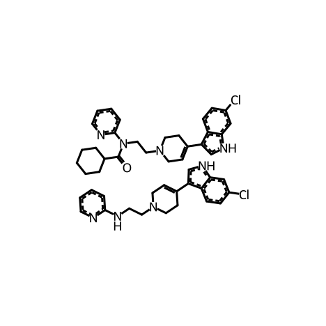 Clc1ccc2c(C3=CCN(CCNc4ccccn4)CC3)c[nH]c2c1.O=C(C1CCCCC1)N(CCN1CC=C(c2c[nH]c3cc(Cl)ccc23)CC1)c1ccccn1